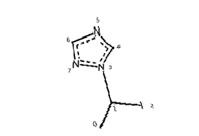 CC(I)n1cncn1